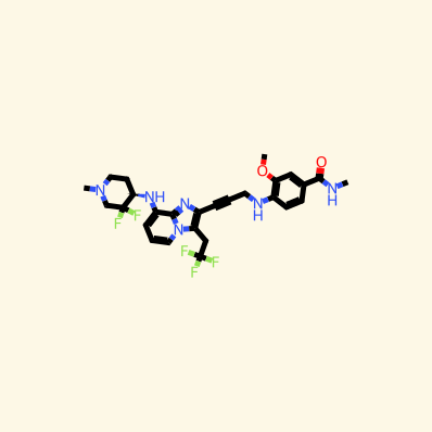 CNC(=O)c1ccc(NCC#Cc2nc3c(N[C@@H]4CCN(C)CC4(F)F)cccn3c2CC(F)(F)F)c(OC)c1